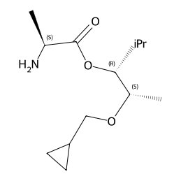 CC(C)[C@@H](OC(=O)[C@H](C)N)[C@H](C)OCC1CC1